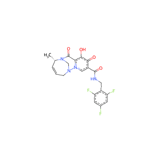 C[C@H]1C=CCN2CN1C(=O)c1c(O)c(=O)c(C(=O)NCc3c(F)cc(F)cc3F)cn12